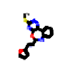 CCCSc1nnc2c(n1)OC(/C=C/c1ccco1)Nc1ccccc1-2